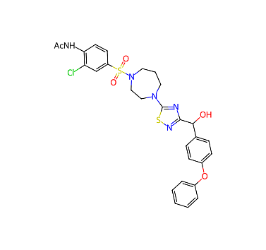 CC(=O)Nc1ccc(S(=O)(=O)N2CCCN(c3nc(C(O)c4ccc(Oc5ccccc5)cc4)ns3)CC2)cc1Cl